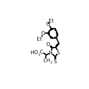 CCOc1ccc(C=C2SC(=S)N(C(C)C(=O)O)C2=O)cc1OCC